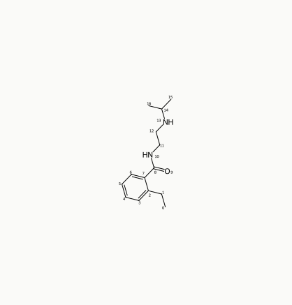 CCc1ccccc1C(=O)NCCNC(C)C